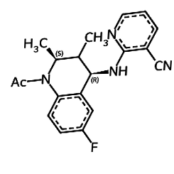 CC(=O)N1c2ccc(F)cc2[C@H](Nc2ncccc2C#N)C(C)[C@@H]1C